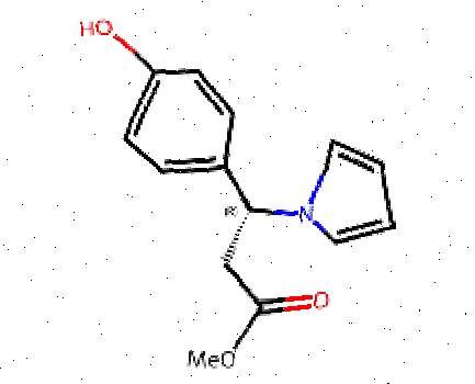 COC(=O)C[C@H](c1ccc(O)cc1)n1cccc1